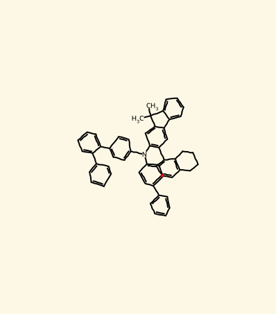 CC1(C)c2ccccc2-c2cc(-c3cccc4c3CCCC4)c(N(c3ccc(-c4ccccc4)cc3)c3ccc(-c4ccccc4-c4ccccc4)cc3)cc21